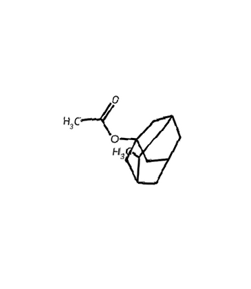 CC(=O)OC12CC3CC(C1)C(C)C(C3)C2